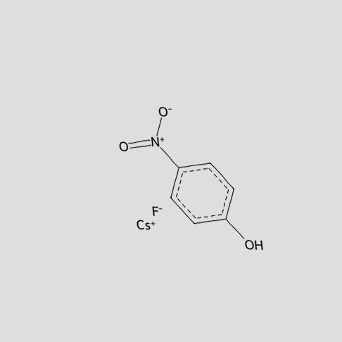 O=[N+]([O-])c1ccc(O)cc1.[Cs+].[F-]